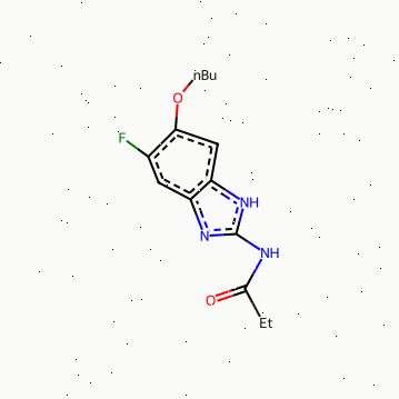 CCCCOc1cc2[nH]c(NC(=O)CC)nc2cc1F